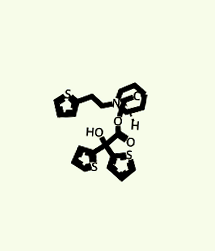 O=C(O[C@@H]1CC2CC[N+]1(CCc1cccs1)CC2)C(O)(c1cccs1)c1cccs1